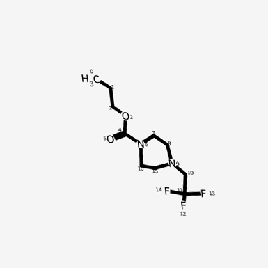 CCCOC(=O)N1CCN(CC(F)(F)F)CC1